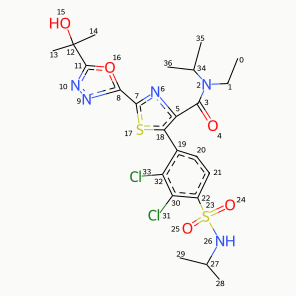 CCN(C(=O)c1nc(-c2nnc(C(C)(C)O)o2)sc1-c1ccc(S(=O)(=O)NC(C)C)c(Cl)c1Cl)C(C)C